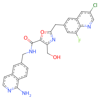 Nc1nccc2cc(CNC(=O)c3oc(Cc4cc(F)c5ncc(Cl)cc5c4)nc3CO)ccc12